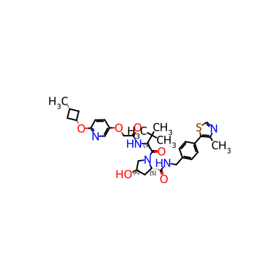 Cc1ncsc1-c1ccc(CNC(=O)[C@@H]2C[C@@H](O)CN2C(=O)[C@@H](NC(=O)COc2ccc(O[C@H]3C[C@@H](C)C3)nc2)C(C)(C)C)cc1